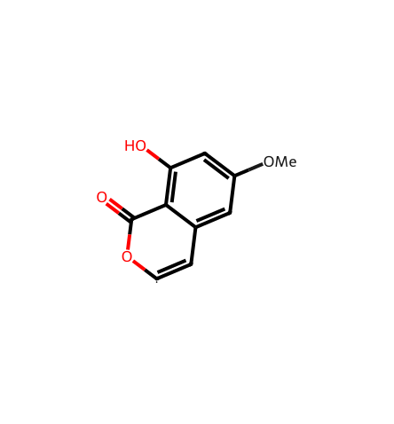 COc1cc(O)c2c(=O)o[c]cc2c1